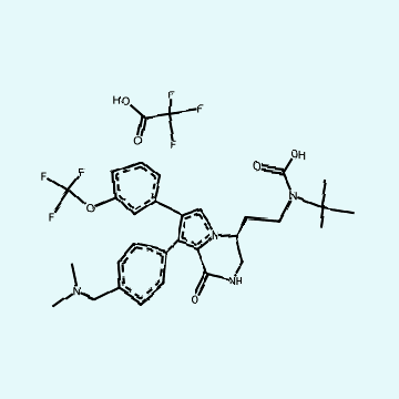 CN(C)Cc1ccc(-c2c(-c3cccc(OC(F)(F)F)c3)cn3c2C(=O)NC[C@@H]3CCN(C(=O)O)C(C)(C)C)cc1.O=C(O)C(F)(F)F